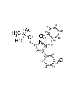 CC(=O)C(C)(C)OCc1cc(-c2cccc(Cl)c2)n(Cc2ccccc2Cl)n1